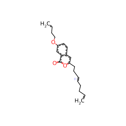 C=CCC/C=C/CCc1cc2ccc(OCCC=C)cc2c(=O)o1